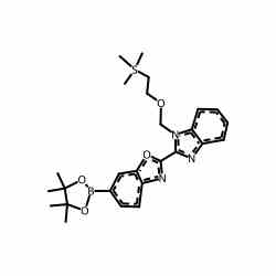 CC1(C)OB(c2ccc3nc(-c4nc5ccccc5n4COCCS(C)(C)C)oc3c2)OC1(C)C